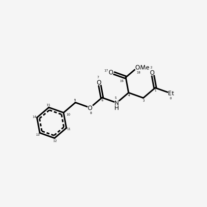 CCC(=O)CC(NC(=O)OCc1ccccc1)C(=O)OC